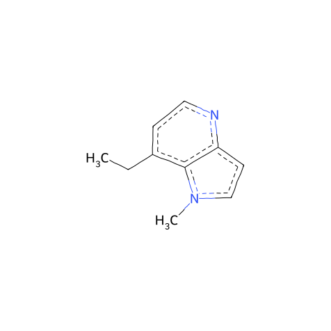 CCc1ccnc2ccn(C)c12